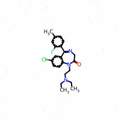 CCN(CC)CCN1C(=O)CN=C(c2ccc(C)cc2F)c2cc(Cl)ccc21